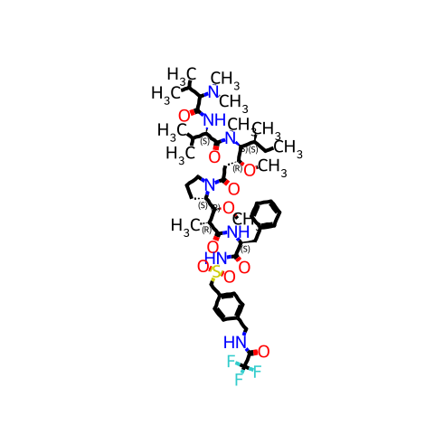 CC[C@H](C)[C@@H]([C@@H](CC(=O)N1CCC[C@H]1[C@H](OC)[C@@H](C)C(=O)N[C@@H](Cc1ccccc1)C(=O)NS(=O)(=O)Cc1ccc(CNC(=O)C(F)(F)F)cc1)OC)N(C)C(=O)[C@@H](NC(=O)C(C(C)C)N(C)C)C(C)C